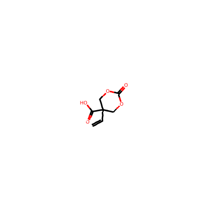 C=CC1(C(=O)O)COC(=O)OC1